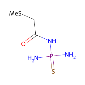 CSCC(=O)NP(N)(N)=S